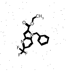 CCOC(=O)c1cc2nc(C(F)(F)F)ccc2n1Cc1ccccc1